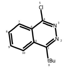 CC(C)(C)c1nnc(Cl)c2ccccc12